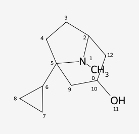 CN1C2CCC1(C1CC1)CC(O)C2